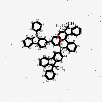 CC1(C)c2ccccc2-c2c(-c3ccccc3N(c3cccc(-c4ccc5c6ccccc6n(-c6ccccc6)c5c4)c3)c3ccc4c(c3)-c3ccccc3C4(C)c3ccccc3)cccc21